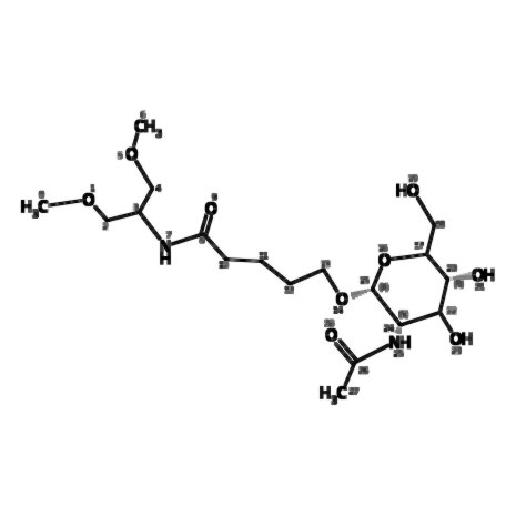 COCC(COC)NC(=O)CCCCO[C@@H]1OC(CO)[C@H](O)C(O)[C@@H]1NC(C)=O